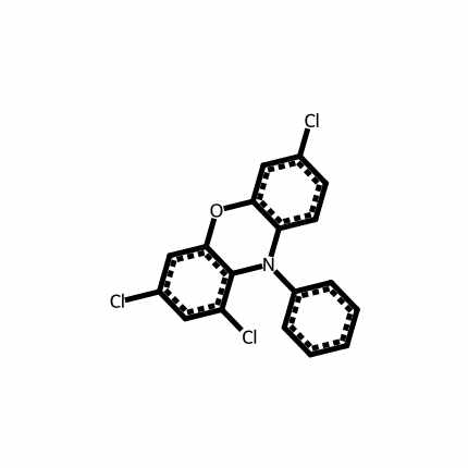 Clc1ccc2c(c1)Oc1cc(Cl)cc(Cl)c1N2c1ccccc1